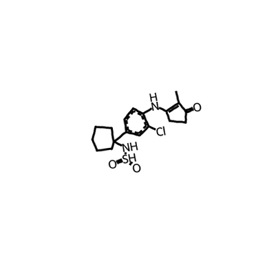 CC1=C(Nc2ccc(C3(N[SH](=O)=O)CCCCC3)cc2Cl)CCC1=O